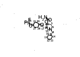 NC(=O)O[C@H]1CCN(Cc2ccccc2)C[C@@H]1COc1ccc(OC(F)F)cc1